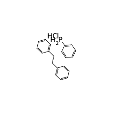 Cl.Pc1ccccc1.c1ccc(CCc2ccccc2)cc1